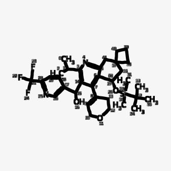 CC(C)c1nc2c(c(C3=CCOCC3)c1C(O)c1ccc(C(F)(F)F)nc1)[C@H](O[Si](C)(C)C(C)(C)C)CC1(CCC1)C2